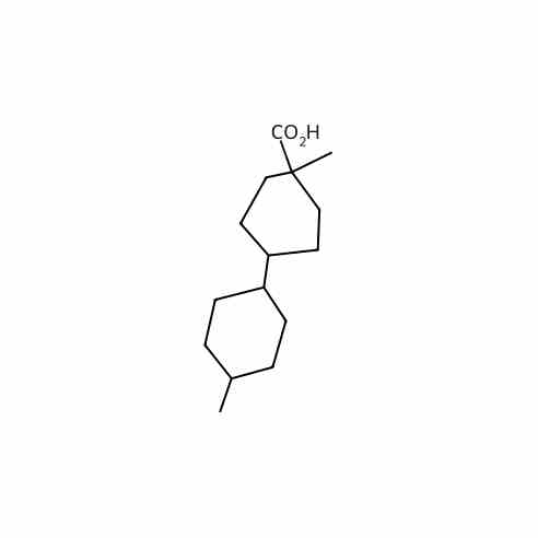 CC1CCC(C2CCC(C)(C(=O)O)CC2)CC1